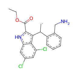 [CH2]C(c1ccccc1CN)c1c(C(=O)OCC)[nH]c2cc(Cl)cc(Cl)c12